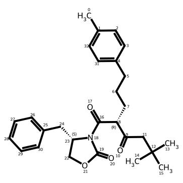 Cc1ccc(CCC[C@H](C(=O)CC(C)(C)C)C(=O)N2C(=O)OC[C@@H]2Cc2ccccc2)cc1